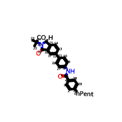 CCCCCc1ccc(C(=O)Nc2ccc(-c3ccc4c(c3)C(=O)N(C(C)(C)C(=O)O)C4)cc2)cc1